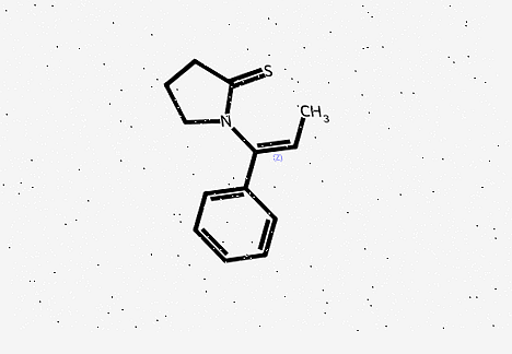 C/C=C(/c1ccccc1)N1CCCC1=S